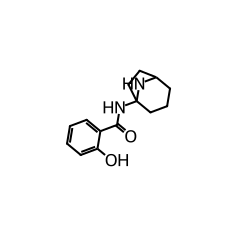 O=C(NC12CCCC(CC1)N2)c1ccccc1O